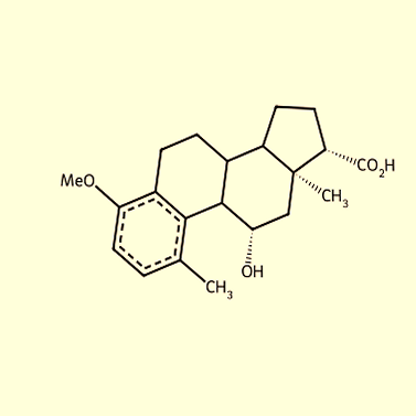 COc1ccc(C)c2c1CCC1C2[C@@H](O)C[C@@]2(C)C1CC[C@@H]2C(=O)O